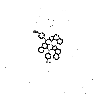 CC(C)(C)c1ccc(N2c3cc4ccccc4c4c3B(c3sc5ccc6ccccc6c5c3N4c3ccc(C(C)(C)C)cc3)c3c2sc2ccc4ccccc4c32)cc1